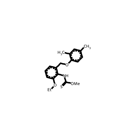 CCOc1cccc(COc2ccc(C)cc2C)c1NC(=S)OC